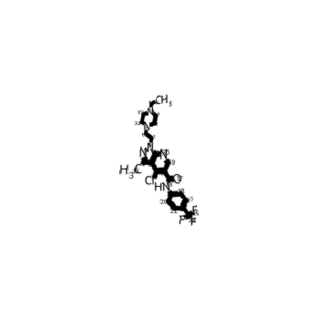 CCN1CCN(CCn2nc(C)c3c(Cl)c(C(=O)Nc4ccc(C(F)(F)F)cc4)cnc32)CC1